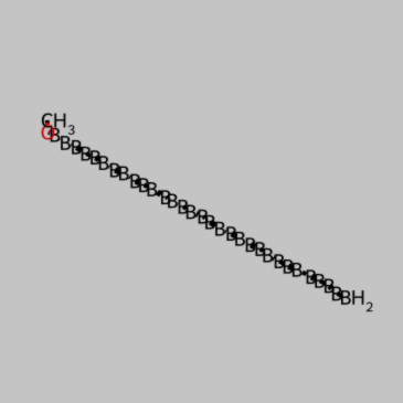 BB=BB=BB=BB=BB=BB=BB=BB=BB=BB=BB=BB=BB=BB=BB=BOC